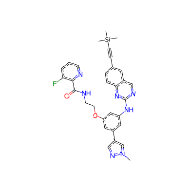 Cn1cc(-c2cc(Nc3ncc4cc(C#C[Si](C)(C)C)ccc4n3)cc(OCCNC(=O)c3ncccc3F)c2)cn1